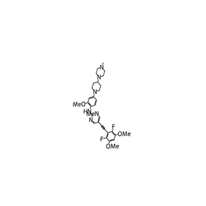 CN/C=C(C#Cc1c(F)c(OC)cc(OC)c1F)\C=N/CNc1ccc(N2CCC(N3CCN(C)CC3)CC2)cc1OC